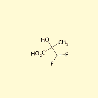 CC(O)(C(=O)O)C(F)F